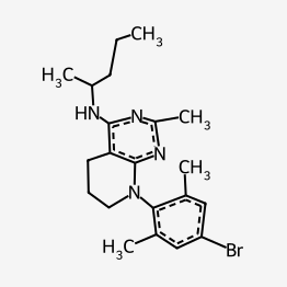 CCCC(C)Nc1nc(C)nc2c1CCCN2c1c(C)cc(Br)cc1C